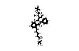 CCC(NC(=O)OC(C)(C)C)c1nc2cccc(CCCCC(=O)OC(C)(C)C)c2c(=O)n1-c1ccccc1